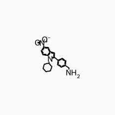 NCc1ccc(-c2cc3cc([N+](=O)[O-])ccc3n2C2CCCCC2)cc1